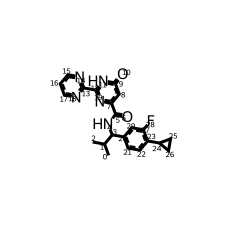 CC(C)C(NC(=O)c1cc(=O)[nH]c(-c2ncccn2)n1)c1ccc(C2CC2)c(F)c1